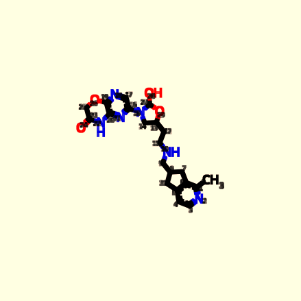 Cc1nccc2c1CC(CNCCC1CN(c3cnc4c(n3)NC(=O)CO4)C(O)O1)C2